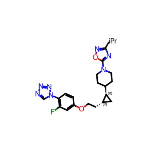 CC(C)c1noc(N2CCC([C@H]3C[C@@H]3CCOc3ccc(-n4cnnn4)c(F)c3)CC2)n1